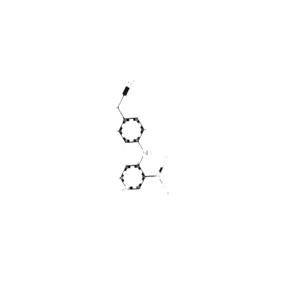 N#CCc1ccc(Nc2ccncc2[N+](=O)[O-])cc1